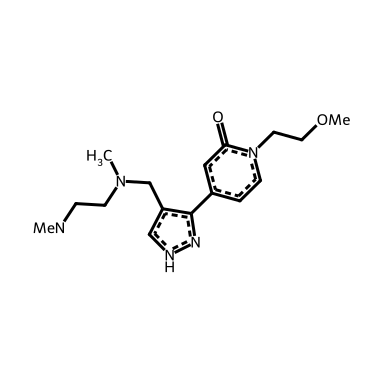 CNCCN(C)Cc1c[nH]nc1-c1ccn(CCOC)c(=O)c1